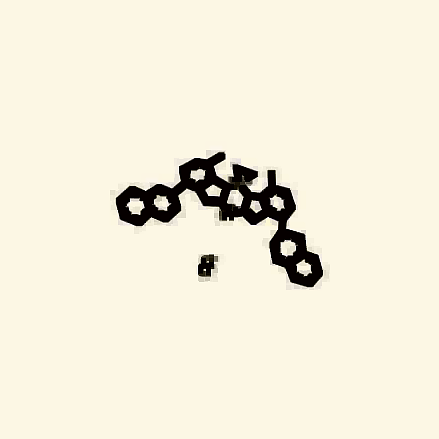 Cc1ccc(-c2ccc3ccccc3c2)c2c1[CH]([Zr+2]1([CH]3C(C(C)C)=Cc4c(-c5ccc6ccccc6c5)ccc(C)c43)[CH2][CH2]1)C(C(C)C)=C2.[Cl-].[Cl-]